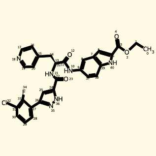 CCOC(=O)c1cc2cc(NC(=O)[C@H](Cc3ccncc3)NC(=O)c3cc(-c4cccc(Cl)c4F)n[nH]3)ccc2[nH]1